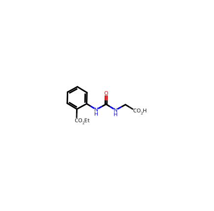 CCOC(=O)c1ccccc1NC(=O)NCC(=O)O